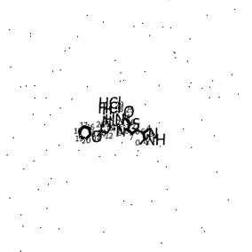 Cc1[nH]ncc1-c1cc2nc([C@@H]3C[C@@H](Oc4ccccc4)CN3)[nH]c(=O)c2s1.Cl.Cl